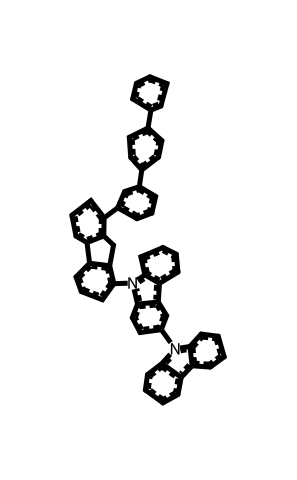 c1ccc(-c2ccc(-c3cccc(-c4cccc5c4Cc4c-5cccc4-n4c5ccccc5c5cc(-n6c7ccccc7c7ccccc76)ccc54)c3)cc2)cc1